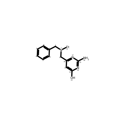 CCN(Cc1ccccc1)Cc1cc(O)nc(N)n1